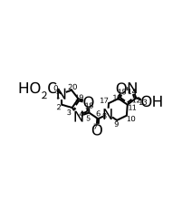 O=C(O)N1Cc2nc(C(=O)N3CCc4c(O)noc4C3)oc2C1